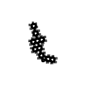 c1ccc(-c2ccc(-c3c4ccccc4c(-c4ccc(-c5ccc6oc7cc8ccccc8cc7c6c5)c5ccccc45)c4ccccc34)cc2)cc1